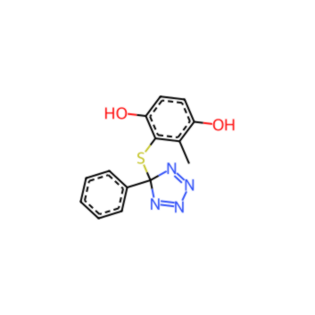 Cc1c(O)ccc(O)c1SC1(c2ccccc2)N=NN=N1